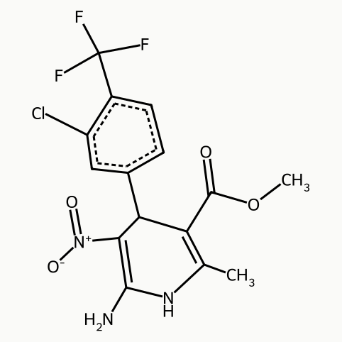 COC(=O)C1=C(C)NC(N)=C([N+](=O)[O-])C1c1ccc(C(F)(F)F)c(Cl)c1